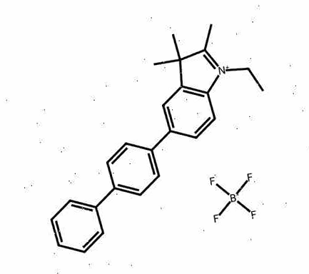 CC[N+]1=C(C)C(C)(C)c2cc(-c3ccc(-c4ccccc4)cc3)ccc21.F[B-](F)(F)F